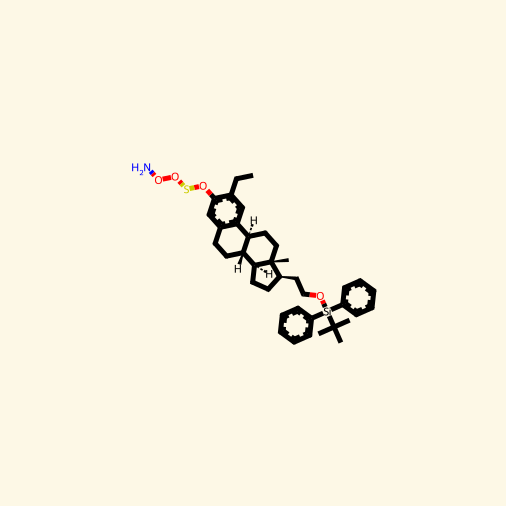 CCc1cc2c(cc1OSOON)CC[C@@H]1[C@@H]2CC[C@]2(C)[C@@H](CCO[Si](c3ccccc3)(c3ccccc3)C(C)(C)C)CC[C@@H]12